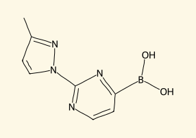 Cc1ccn(-c2nccc(B(O)O)n2)n1